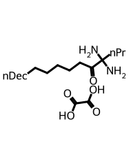 CCCCCCCCCCCCCCCC(=O)C(N)(N)CCC.O=C(O)C(=O)O